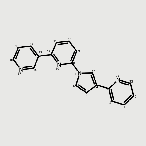 c1ccc(-c2ccn(-c3cccc(-c4cccnc4)n3)c2)nc1